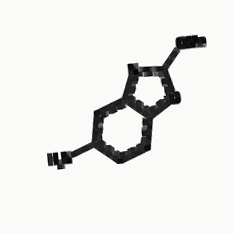 COc1nc2cc(N)ccc2o1